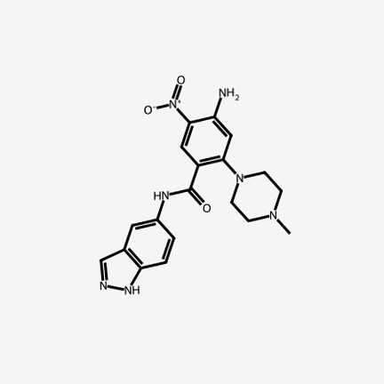 CN1CCN(c2cc(N)c([N+](=O)[O-])cc2C(=O)Nc2ccc3[nH]ncc3c2)CC1